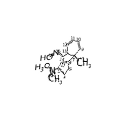 CN(C)C1=CCC(C2(C)C=CC=CC2/C=N/O)=C1